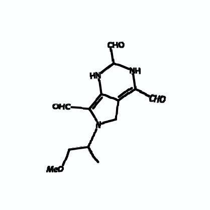 COCC(C)N1CC2=C(C=O)NC(C=O)NC2=C1C=O